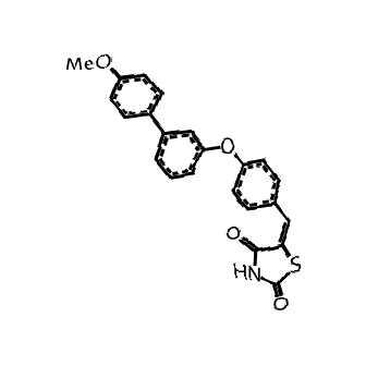 COc1ccc(-c2cccc(Oc3ccc(C=C4SC(=O)NC4=O)cc3)c2)cc1